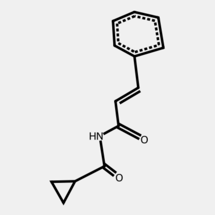 O=C(/C=C/c1ccccc1)NC(=O)C1CC1